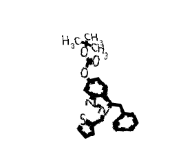 CC(C)(C)OC(=O)Oc1ccc2c(Cc3ccccc3)n(Cc3cccs3)nc2c1